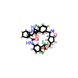 O=C(N[C@@H]1C2CCC(/C2=C/C2CC2)[C@@H]1C(=O)Nc1ccc(F)c(C(F)(F)F)c1)c1cc(C2=NOC3CC(CO)CC23)ccc1F